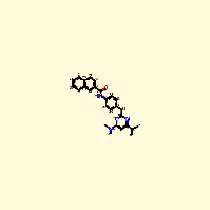 CC(C)c1[c]c(N(C)C)nc(Cc2ccc(NC(=O)c3ccc4ccccc4c3)cc2)n1